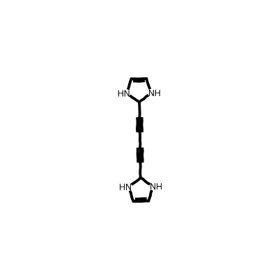 C(C#CC1NC=CN1)#CC1NC=CN1